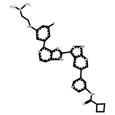 CN(C)CCNc1cc(F)cc(-c2nccc3[nH]c(-c4n[nH]c5ncc(-c6cncc(NC(=O)C7CCC7)c6)cc45)nc23)c1